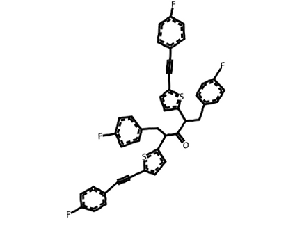 O=C(C(Cc1ccc(F)cc1)c1ccc(C#Cc2ccc(F)cc2)s1)C(Cc1ccc(F)cc1)c1ccc(C#Cc2ccc(F)cc2)s1